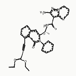 CCOC(C#Cc1cccc2cc([C@@H](C)NC(=O)c3c(N)nn4cccnc34)n(-c3ccccc3)c(=O)c12)OCC